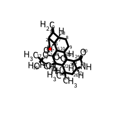 C=C1C2C(=O)[C@]34[C@H]2[C@H]1CC[C@H]3[C@@]12CO[C@]4(OC(C)(C)O)[C@@H](O)[C@@H]1C(C)(C)C[C@H]1NC(=O)[C@H]12